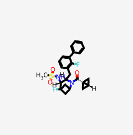 CS(=O)(=O)N[C@@H]1[C@H](Cc2cccc(-c3ccccc3)c2F)N(C(=O)[C@]23C[C@@H]2C3)C2CC1(F)C2